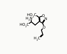 C=CCOc1noc(C(=O)O)c1CC(N)C(=O)O